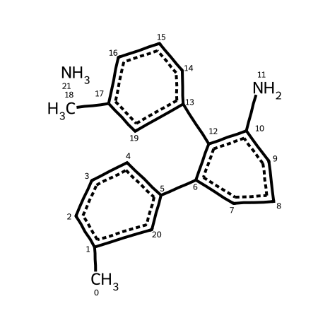 Cc1cccc(-c2cccc(N)c2-c2cccc(C)c2)c1.N